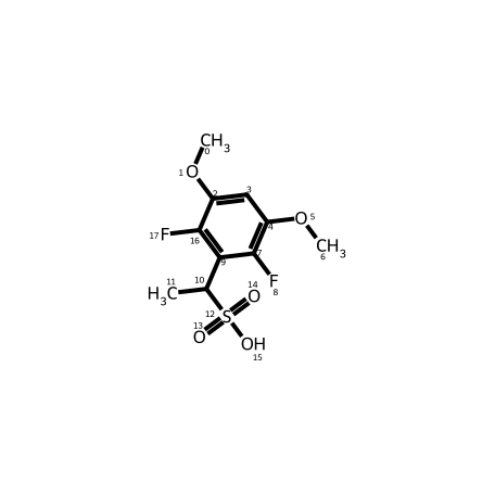 COc1cc(OC)c(F)c(C(C)S(=O)(=O)O)c1F